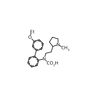 CCOc1cccc(-c2ccccc2N(CCC2CCCN2C)C(=O)O)c1